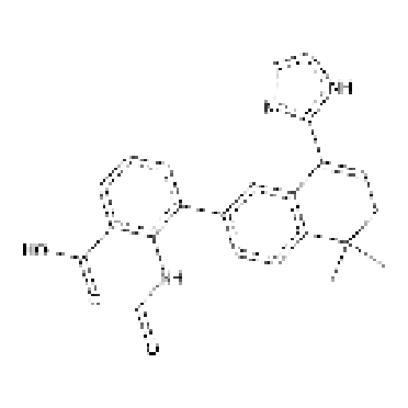 CC1(C)CC=C(c2ncc[nH]2)c2cc(-c3cccc(C(=O)O)c3NC=O)ccc21